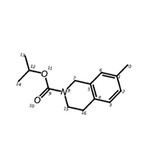 Cc1ccc2c(c1)CN(C(=O)OC(C)C)CC2